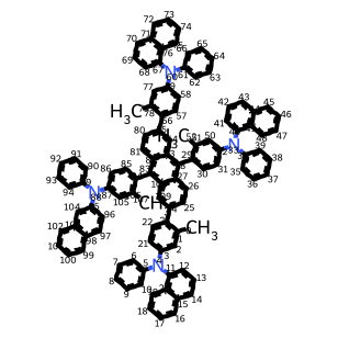 Cc1cc(N(c2ccccc2)c2cccc3ccccc23)ccc1-c1ccc2c(-c3ccc(N(c4ccccc4)c4cccc5ccccc45)cc3C)c3cc(-c4ccc(N(c5ccccc5)c5cccc6ccccc56)cc4C)ccc3c(-c3ccc(N(c4ccccc4)c4ccc5ccccc5c4)cc3C)c2c1